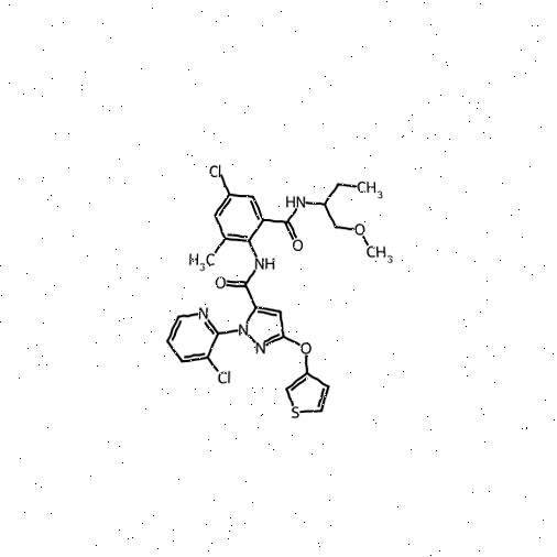 CCC(COC)NC(=O)c1cc(Cl)cc(C)c1NC(=O)c1cc(Oc2ccsc2)nn1-c1ncccc1Cl